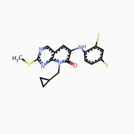 CSc1ncc2cc(Nc3ccc(F)cc3F)c(=O)n(CC3CC3)c2n1